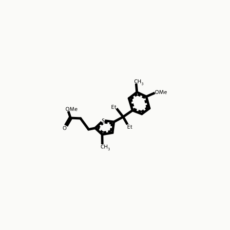 CCC(CC)(c1ccc(OC)c(C)c1)c1cc(C)c(CCC(=O)OC)s1